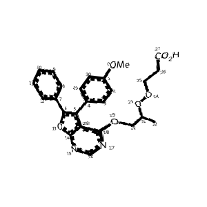 COc1ccc(-c2c(-c3ccccc3)oc3ncnc(OCC(C)OOCCC(=O)O)c23)cc1